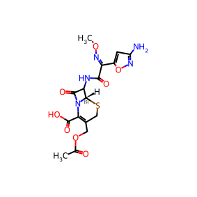 CON=C(C(=O)NC1C(=O)N2C(C(=O)O)=C(COC(C)=O)CS[C@@H]12)c1cc(N)no1